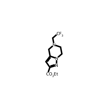 CCOC(=O)c1cc2n(n1)CCN(CC(F)(F)F)C2